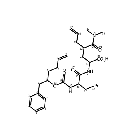 C=CCCC(Cc1ccccc1)OC(=O)NC(CC(C)C)C(=O)NC(CC(CC=C)C(=O)N(C)C)C(=O)O